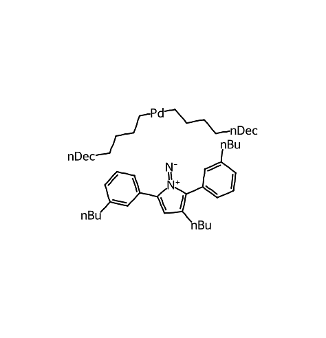 CCCCC1=C(c2cccc(CCCC)c2)[N+](=[N-])C(c2cccc(CCCC)c2)=C1.CCCCCCCCCCCCC[CH2][Pd][CH2]CCCCCCCCCCCCC